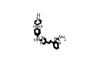 Nc1nc2c(C=Cc3cnc(Nc4ccc(S(=O)(=O)C5CCNCC5)cc4)nc3)cccc2s1